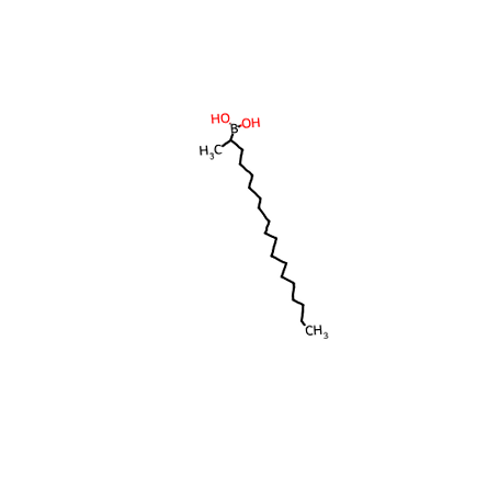 CCCCCCCCCCCCCCCCCC(C)B(O)O